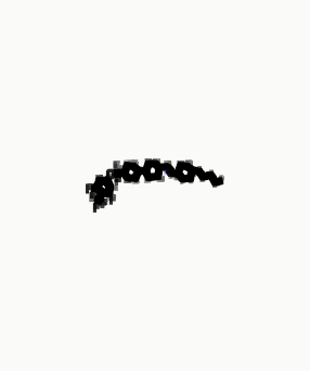 CCCCCC1CCC(/C=C/C2CCC(C3CCC(C(F)(F)Oc4cc(F)c(C(F)(F)F)c(F)c4)CC3)CC2)CC1